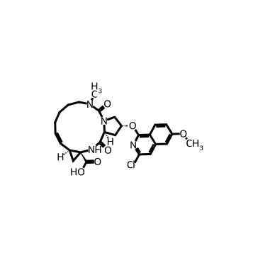 COc1ccc2c(O[C@@H]3C[C@H]4C(=O)N[C@]5(C(=O)O)C[C@H]5/C=C\CCCCN(C)C(=O)N4C3)nc(Cl)cc2c1